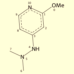 COc1cc(NN(C)C)ccn1